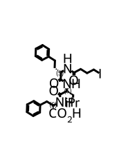 CC(C)C[C@H](NC(=O)[C@H](CCc1ccccc1)NC(=O)CCCI)C(=O)N[C@@H](Cc1ccccc1)C(=O)O